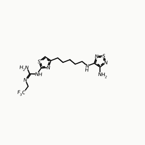 N/C(=N/CC(F)(F)F)Nc1nc(CCCCCNc2nsnc2N)cs1